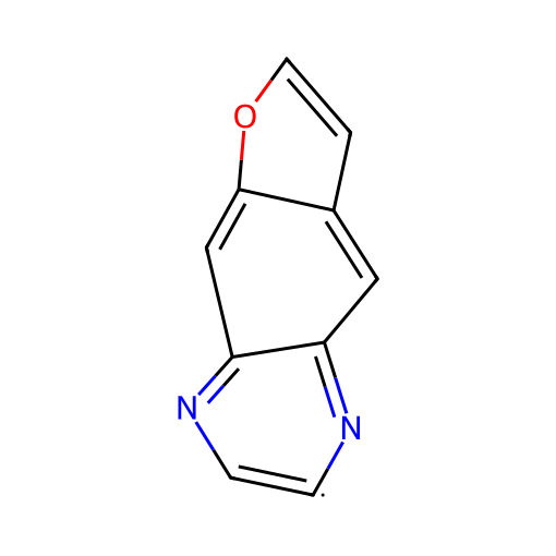 [c]1cnc2cc3occc3cc2n1